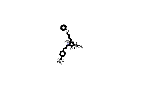 COC(=O)C1CCC(CC/C=C2\C(=O)C(S(C)(=O)=O)=CC2(O)CCCCOc2ccccc2)CC1